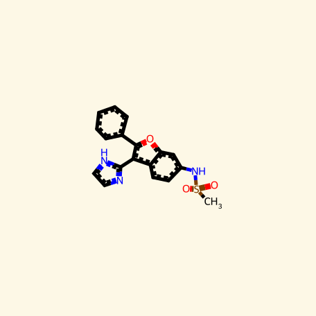 CS(=O)(=O)Nc1ccc2c(-c3ncc[nH]3)c(-c3ccccc3)oc2c1